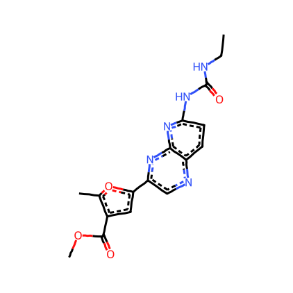 CCNC(=O)Nc1ccc2ncc(-c3cc(C(=O)OC)c(C)o3)nc2n1